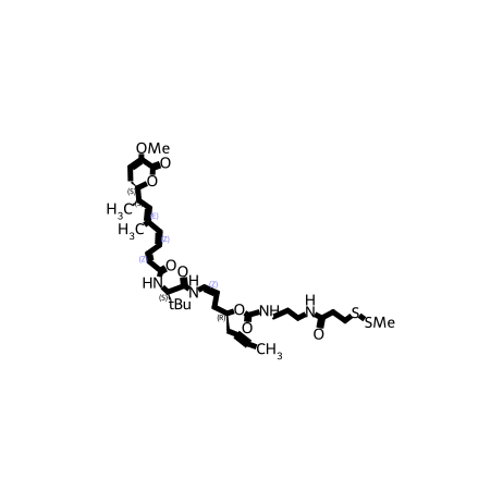 CC#CC[C@@H](C/C=C\NC(=O)[C@@H](NC(=O)\C=C/C=C\C(C)=C\[C@H](C)[C@@H]1CC=C(OC)C(=O)O1)C(C)(C)C)OC(=O)NCCCNC(=O)CCSSC